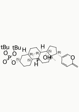 C=C1C=CC([C@H]2CC[C@]3(O)[C@@H]4CC[C@@H]5C[C@@H](OP(=O)(OC(C)(C)C)OC(C)(C)C)CC[C@]5(C)[C@H]4CC[C@]23C)=CO1